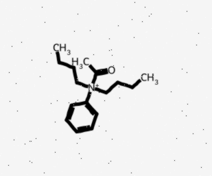 CCCC[N+](CCCC)(C(C)=O)c1ccccc1